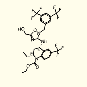 CCOC(=O)N1c2ccc(C(F)(F)F)cc2[C@@H](NC2N=C(CO)ON2Cc2cc(C(F)(F)F)cc(C(F)(F)F)c2)C[C@H]1CC